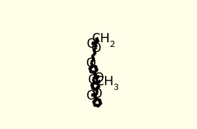 C=CC(=O)OCCCCOc1ccc(C(=O)Oc2ccc(OC(=O)c3ccccc3)cc2C)cc1